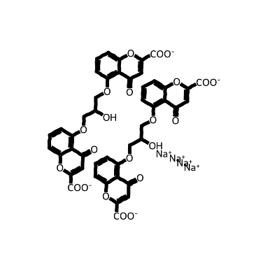 O=C([O-])c1cc(=O)c2c(OCC(O)COc3cccc4oc(C(=O)[O-])cc(=O)c34)cccc2o1.O=C([O-])c1cc(=O)c2c(OCC(O)COc3cccc4oc(C(=O)[O-])cc(=O)c34)cccc2o1.[Na+].[Na+].[Na+].[Na+]